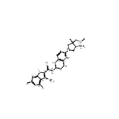 COCC1(C)CN(c2ccc3c(n2)CCC(NC(=O)c2sc4nc(C)cc(C)c4c2N)C3)CC1N